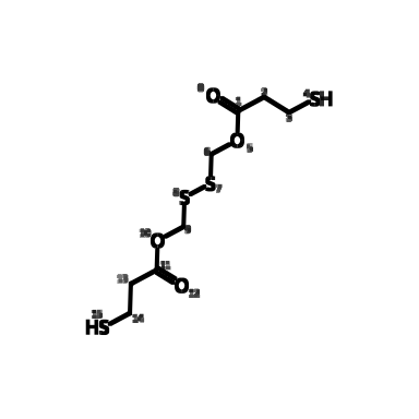 O=C(CCS)OCSSCOC(=O)CCS